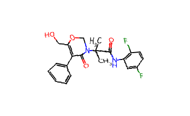 CC(C)(C(=O)Nc1cc(F)ccc1F)N1COC(CO)=C(c2ccccc2)C1=O